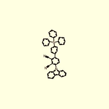 N#Cc1c(-c2ccc([Si](c3ccccc3)(c3ccccc3)c3ccccc3)cc2)ccc(-n2c3ccccc3c3ccccc32)c1C#N